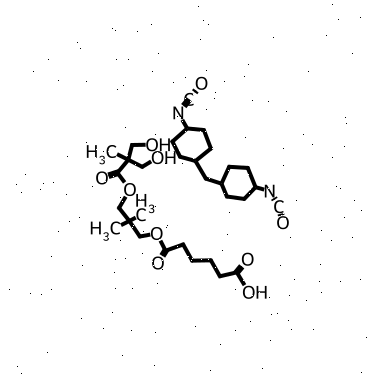 CC(C)(COC(=O)CCCCC(=O)O)COC(=O)C(C)(CO)CO.O=C=NC1CCC(CC2CCC(N=C=O)CC2)CC1